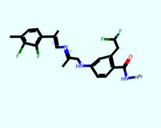 CCCNC(=O)c1ccc(NC/C(C)=N/C=C(\C)c2ccc(C)c(F)c2F)cc1CC(F)F